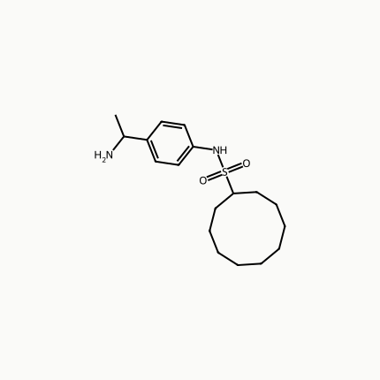 CC(N)c1ccc(NS(=O)(=O)C2CCCCCCCCC2)cc1